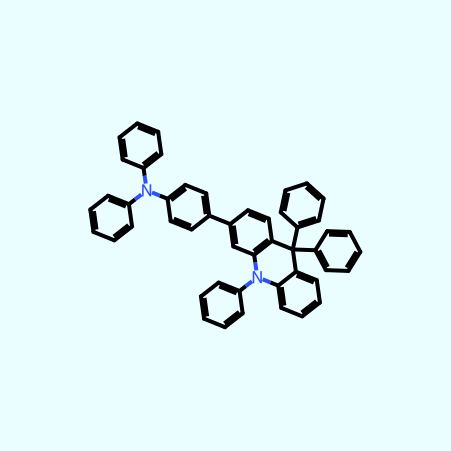 c1ccc(N(c2ccccc2)c2ccc(-c3ccc4c(c3)N(c3ccccc3)c3ccccc3C4(c3ccccc3)c3ccccc3)cc2)cc1